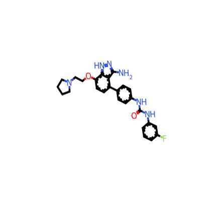 Nc1n[nH]c2c(OCCN3CCCC3)ccc(-c3ccc(NC(=O)Nc4cccc(F)c4)cc3)c12